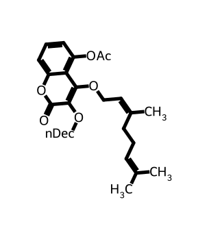 CCCCCCCCCCOc1c(OCC=C(C)CCC=C(C)C)c2c(OC(C)=O)cccc2oc1=O